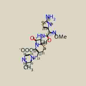 CO/N=C(\C(=O)NC1C(=O)N2C(C(=O)[O-])=C(C[n+]3ccnc(C)c3)CS[C@H]12)c1csc(N)n1